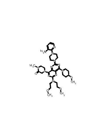 COCCN(CCOC)c1nc(N2CCN(C)C(=O)C2)c2nc(N3CCN(c4ncccc4N)CC3)nc(N3CCC(OC)CC3)c2n1